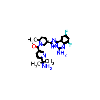 C[C@H]1CC[C@@H](c2nc3c4cc(F)cc(F)c4nc(N)n3n2)CN1C(=O)c1ccc(C(C)(C)N)nc1